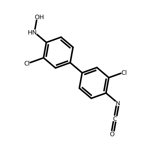 O=C=Nc1ccc(-c2ccc(NO)c(Cl)c2)cc1Cl